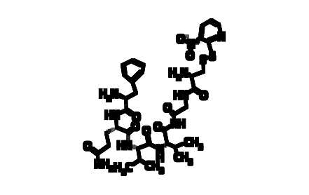 CC(C)[C@H](NC(=O)[C@H](CCC(N)=O)NC(=O)[C@@H](N)Cc1ccccc1)C(=O)N[C@H](C(=O)NC(=O)CNC(=O)[C@@H](N)CSSc1ncccc1[N+](=O)[O-])C(C)C